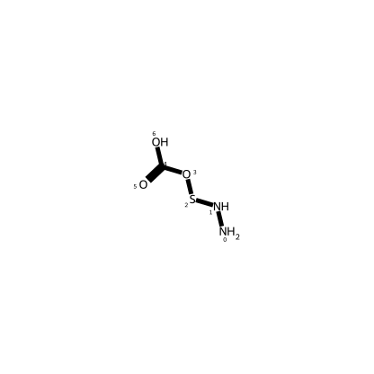 NNSOC(=O)O